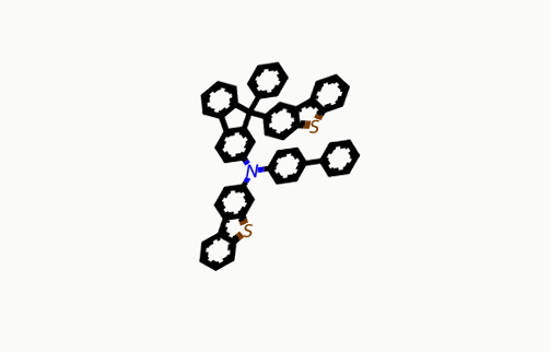 c1ccc(-c2ccc(N(c3ccc4c(c3)C(c3ccccc3)(c3ccc5sc6ccccc6c5c3)c3ccccc3-4)c3ccc4c(c3)sc3ccccc34)cc2)cc1